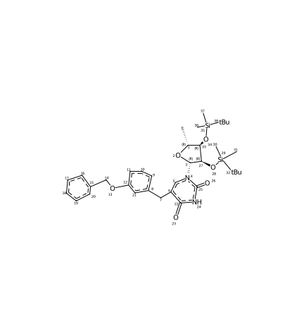 C[C@H]1O[C@@H](n2cc(Cc3cccc(OCc4ccccc4)c3)c(=O)[nH]c2=O)[C@H](O[Si](C)(C)C(C)(C)C)[C@@H]1O[Si](C)(C)C(C)(C)C